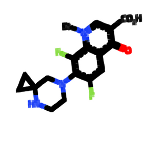 CCn1cc(C(=O)O)c(=O)c2cc(F)c(N3CCNC4(CC4)C3)c(F)c21